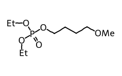 CCOP(=O)(OCC)OCCCCOC